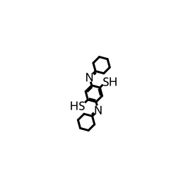 Sc1cc(N=C2CCCCC2)c(S)cc1N=C1CCCCC1